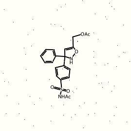 CC(=O)NS(=O)(=O)c1ccc(C2(c3ccccc3)C=C(COC(C)=O)ON2)cc1